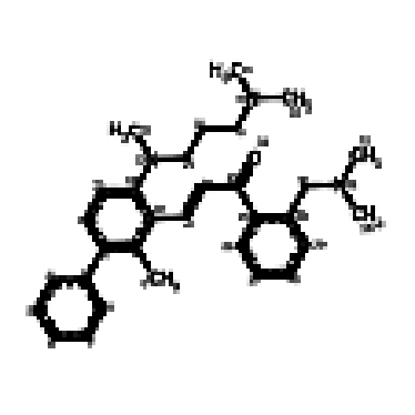 Cc1c(-c2ccccc2)ccc(N(C)CCCN(C)C)c1C=CC(=O)c1ccccc1CN(C)C